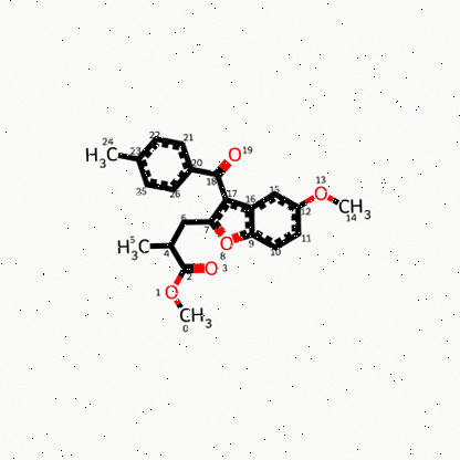 COC(=O)C(C)Cc1oc2ccc(OC)cc2c1C(=O)c1ccc(C)cc1